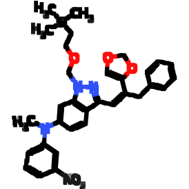 CN(c1cccc([N+](=O)[O-])c1)c1ccc2c(C=C(Cc3ccccc3)C3=COCO3)nn(COCC[Si](C)(C)C)c2c1